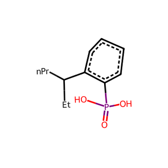 CCCC(CC)c1ccccc1P(=O)(O)O